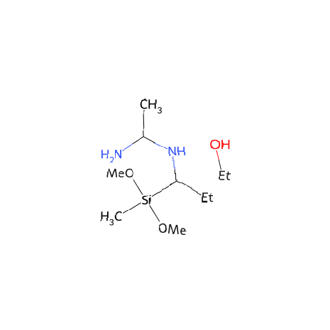 CCC(NC(C)N)[Si](C)(OC)OC.CCO